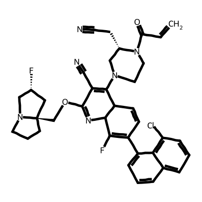 C=CC(=O)N1CCN(C2=C(C#N)C(OC[C@@]34CCCN3C[C@H](F)C4)=NC3C(F)=C(c4cccc5cccc(Cl)c45)C=CC23)C[C@@H]1CC#N